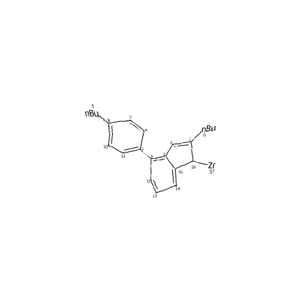 CCCCC1=Cc2c(-c3ccc(CCCC)cc3)cccc2[CH]1[Zr]